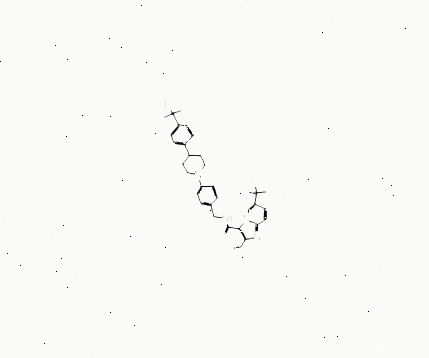 CCc1nc2ccc(C(F)(F)F)cn2c1C(=O)NCc1ccc(N2CCC(c3ccc(C(F)(F)F)cc3)CC2)cc1